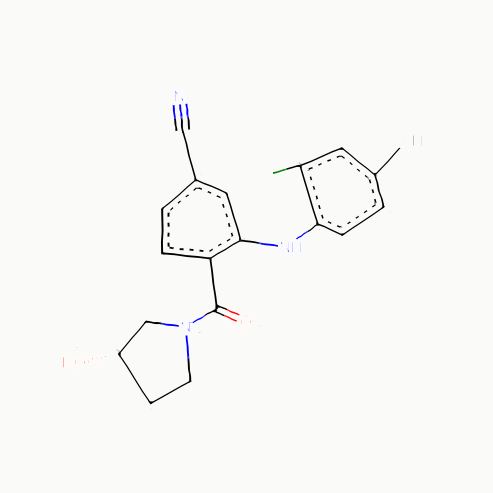 Cc1ccc(Nc2cc(C#N)ccc2C(=O)N2CC[C@H](O)C2)c(F)c1